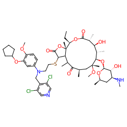 CC[C@H]1OC(=O)[C@H](C)[C@@H](O)[C@H](C)[C@@H](O[C@@H]2O[C@H](C)C[C@H](NC)[C@H]2O)[C@](C)(OC)C[C@@H](C)C(=O)C(C)C2C(SCCN(Cc3c(Cl)cncc3Cl)c3ccc(OC)c(OC4CCCC4)c3)C(=O)O[C@@]21C